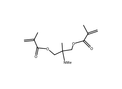 C=C(C)C(=O)OCC(C)(COC(=O)C(=C)C)NC